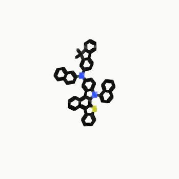 CC1(C)c2ccccc2-c2ccc(N(c3ccc4ccccc4c3)c3ccc4c(c3)c3c5ccccc5c5c6ccccc6sc5c3n4-c3cccc4ccccc34)cc21